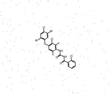 Cc1cc(Oc2cc(Br)c(Cl)cc2Br)c(Cl)c(C)c1NC(=O)NC(=O)c1ccccc1Cl